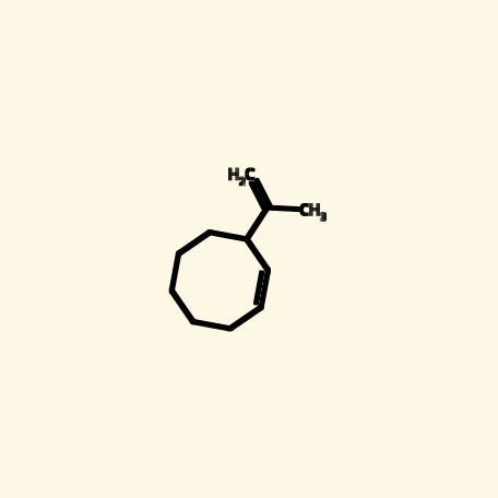 C=C(C)C1C=CCCCCC1